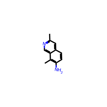 Cc1cc2ccc(N)c(C)c2cn1